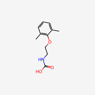 Cc1cccc(C)c1OCCNC(=O)O